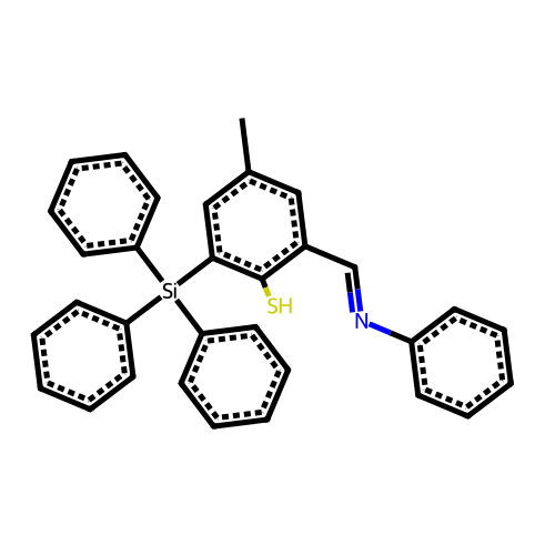 Cc1cc(/C=N/c2ccccc2)c(S)c([Si](c2ccccc2)(c2ccccc2)c2ccccc2)c1